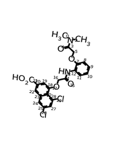 CN(C)C(=O)COc1ccccc1NC(=O)COc1cc(C(=O)O)cc2cc(Cl)cc(Cl)c12